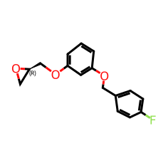 Fc1ccc(COc2cccc(OC[C@H]3CO3)c2)cc1